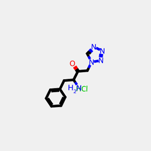 Cl.NC(Cc1ccccc1)C(=O)Cn1cnnn1